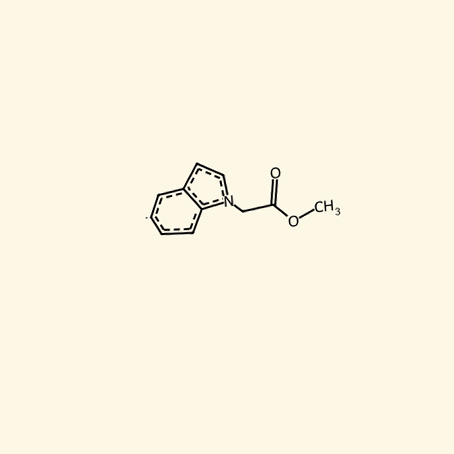 COC(=O)Cn1ccc2c[c]ccc21